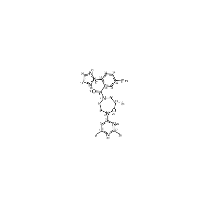 Cc1cc(N2CCN(C(=O)c3cc(F)ccc3-n3nccn3)C[C@H](C)O2)nc(C)n1